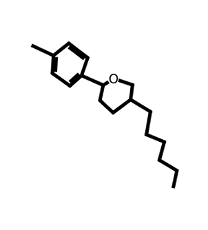 CCCCCCC1CCC(c2ccc(C)cc2)OC1